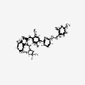 CC(=O)N1CC(F)(F)CC1Cn1c(Cc2cc(F)c(-c3cccc(OCc4ccc(C#N)cc4F)n3)cc2F)nc2ccccc21